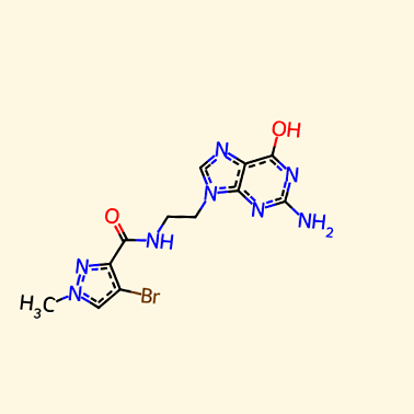 Cn1cc(Br)c(C(=O)NCCn2cnc3c(O)nc(N)nc32)n1